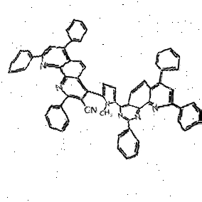 Cn1c(-c2nc(-c3ccccc3)nc3c2ccc2c(-c4ccccc4)cc(-c4ccccc4)nc23)ccc1-c1c(C#N)c(-c2ccccc2)nc2c1ccc1c(-c3ccccc3)cc(-c3ccccc3)nc12